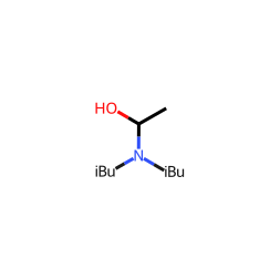 CCC(C)N(C(C)O)C(C)CC